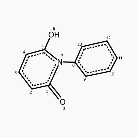 O=c1cccc(O)n1-c1ccccc1